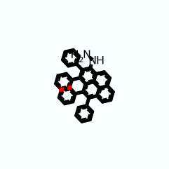 NNc1c(-c2ccccc2)c(-c2ccccc2)c2c(-c3ccccc3)c(-c3ccccc3)c3cccc4ccc1c2c43